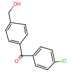 O=C(c1ccc(Cl)cc1)c1ccc(CO)cc1